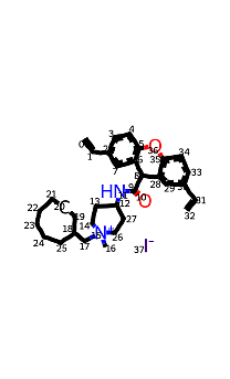 C=Cc1ccc2c(c1)C(C(=O)NC1CC[N+](C)(CC3CCCCCCC3)CC1)c1cc(C=C)ccc1O2.[I-]